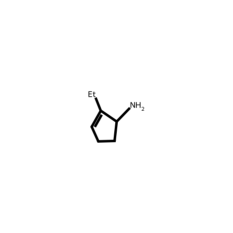 CCC1=CCCC1N